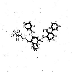 CS(=O)(=O)NCCNCc1c(OCc2cccnc2)cc(OCc2cccc(-c3ccccc3)c2Cl)c2nonc12